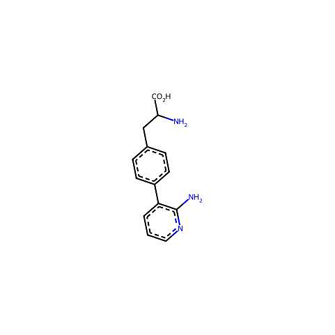 Nc1ncccc1-c1ccc(CC(N)C(=O)O)cc1